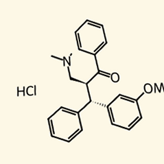 COc1cccc([C@H](c2ccccc2)[C@@H](CN(C)C)C(=O)c2ccccc2)c1.Cl